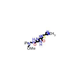 COCCN(CCNC(=O)c1cnc2c(c1)[nH]c(=O)c1c2nn2cc(-c3cnn(C)c3)sc12)C(C)C